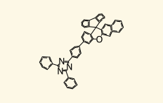 c1ccc(-c2nc(-c3ccccc3)nc(-c3ccc(-c4ccc5c(c4)Oc4cc6ccccc6cc4C54c5ccccc5-c5ccccc54)cc3)n2)cc1